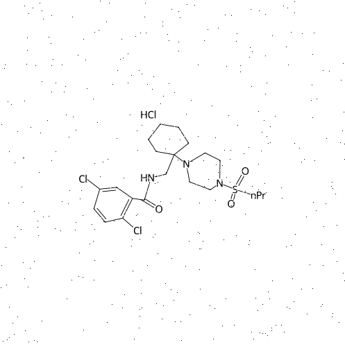 CCCS(=O)(=O)N1CCN(C2(CNC(=O)c3cc(Cl)ccc3Cl)CCCCC2)CC1.Cl